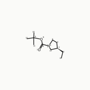 CC[C@@H]1CCN(C(=O)OC(C)(C)C)C1